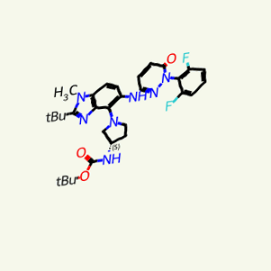 Cn1c(C(C)(C)C)nc2c(N3CC[C@H](NC(=O)OC(C)(C)C)C3)c(Nc3ccc(=O)n(-c4c(F)cccc4F)n3)ccc21